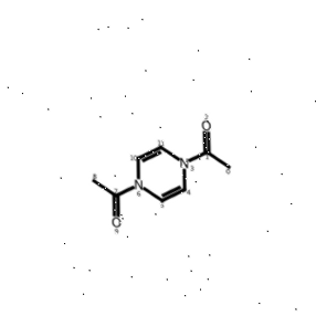 CC(=O)N1C=CN(C(C)=O)C=C1